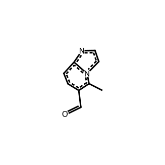 Cc1c(C=O)ccc2nccn12